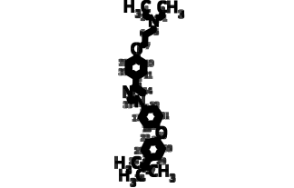 CCN(CC)CCCOc1ccc(-c2cn(-c3ccc(Oc4ccc(C(C)(C)C)cc4)cc3)cn2)cc1